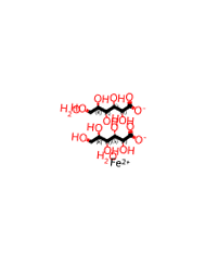 O.O.O=C([O-])[C@H](O)[C@@H](O)[C@H](O)[C@H](O)CO.O=C([O-])[C@H](O)[C@@H](O)[C@H](O)[C@H](O)CO.[Fe+2]